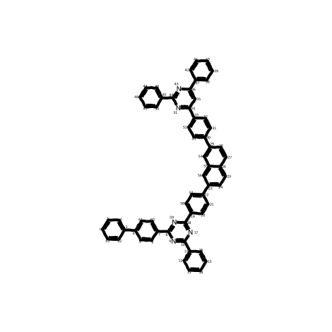 c1ccc(-c2ccc(-c3nc(-c4ccccc4)nc(-c4ccc(-c5ccc6ccc(-c7ccc(-c8cc(-c9ccccc9)nc(-c9ccccc9)n8)cc7)cc6c5)cc4)n3)cc2)cc1